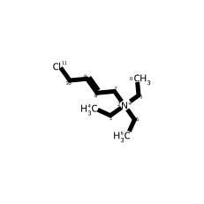 CC[N+](CC)(CC)CC=CCCl